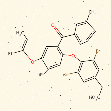 CC=C(CC)Oc1cc(C(=O)c2cccc(C)c2)c(Oc2c(Br)cc(CC(=O)O)cc2Br)cc1C(C)C